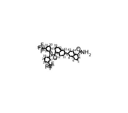 NC(=O)c1cccc2cc(-c3ccc4c(C(=O)N(c5cccc(C(F)(F)F)c5)c5cccc(C(F)(F)F)c5)cccc4c3)ccc12